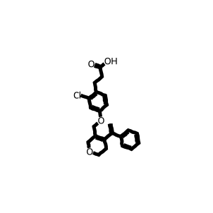 C=C(C1=C(COc2ccc(CCC(=O)O)c(Cl)c2)COCC1)c1ccccc1